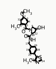 COc1ccc(C(=O)N2C[C@H](O)C[C@H]2C(=O)NCc2ccc(-c3scnc3C)cc2)c(C)c1